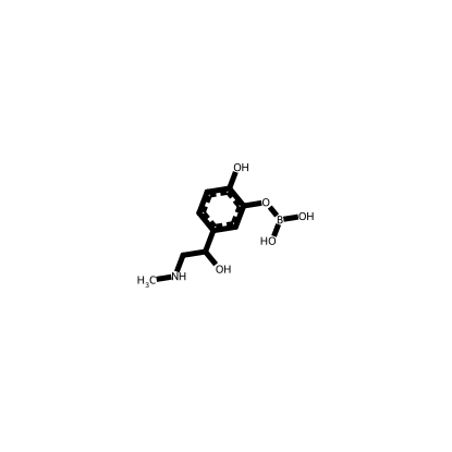 CNCC(O)c1ccc(O)c(OB(O)O)c1